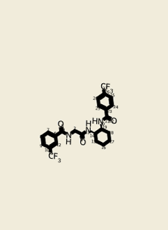 O=C(CNC(=O)c1cccc(C(F)(F)F)c1)N[C@@H]1CCCC[C@@H]1NC(=O)c1ccc(C(F)(F)F)cc1